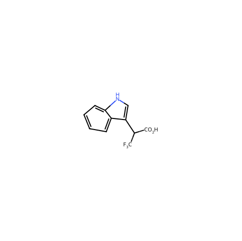 O=C(O)C(c1c[nH]c2ccccc12)C(F)(F)F